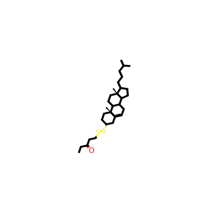 CCC(=O)CCSS[C@H]1CC[C@@]2(C)C(=CCC3C4CCC(CCCC(C)C)[C@@]4(C)CCC32)C1